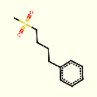 CS(=O)(=O)CCCCc1ccccc1